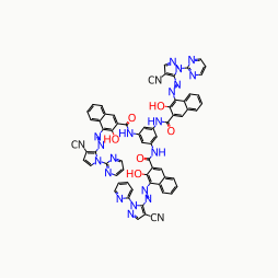 [C-]#[N+]c1ccn(-c2ncccn2)c1/N=N/c1c(O)c(C(=O)Nc2cc(NC(=O)c3cc4ccccc4c(/N=N/c4c(C#N)cnn4-c4ccccn4)c3O)cc(NC(=O)c3cc4ccccc4c(/N=N/c4c([N+]#[C-])cnn4-c4ncccn4)c3O)c2)cc2ccccc12